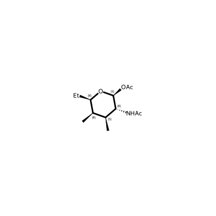 CC[C@H]1O[C@@H](OC(C)=O)[C@H](NC(C)=O)[C@@H](C)[C@H]1C